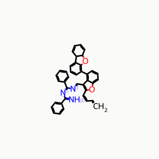 C=C/C=C\c1oc2cccc(-c3cccc4c3OC3C=CC=CC43)c2c1/C=N/C(=N\C(=N)c1ccccc1)c1ccccc1